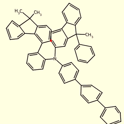 CC1(C)c2ccccc2-c2c(-c3ccccc3N(c3ccc(-c4ccc(-c5ccccc5)cc4)cc3)c3ccc4c(c3)C(C)(c3ccccc3)c3ccccc3-4)cccc21